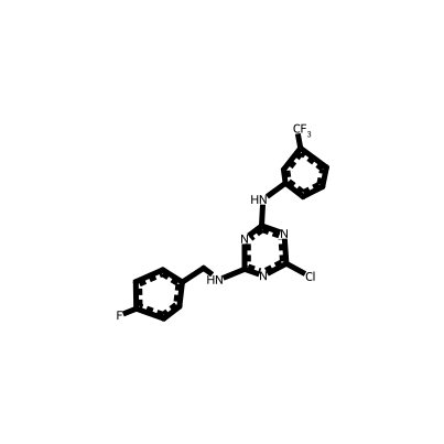 Fc1ccc(CNc2nc(Cl)nc(Nc3cccc(C(F)(F)F)c3)n2)cc1